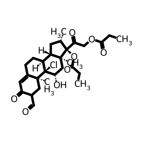 CCC(=O)OCC(=O)[C@@]1(OC(=O)CC)[C@@H](C)C[C@H]2[C@@H]3CCC4=CC(=O)C(C=O)C[C@]4(C)[C@@]3(Cl)[C@@H](O)C[C@@]21C